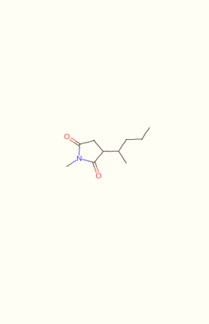 CCCC(C)C1CC(=O)N(C)C1=O